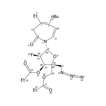 CCCCC1=C(CC)CC(=O)N([C@@H]2O[C@](CN=[N+]=[N-])(COC(=O)CC)[C@@H](OC(=O)CC)[C@H]2F)C=C1